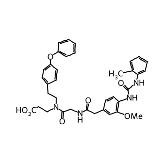 COc1cc(CC(=O)NCC(=O)N(CCC(=O)O)CCc2ccc(Oc3ccccc3)cc2)ccc1NC(=O)Nc1ccccc1C